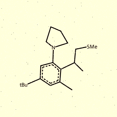 CSCC(C)c1c(C)cc(C(C)(C)C)cc1N1CCCC1